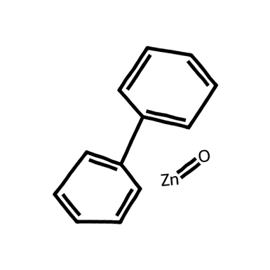 [O]=[Zn].c1ccc(-c2ccccc2)cc1